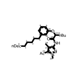 CCCCCCCCCCCCCCCc1cccc(OC(CCCC)C(=O)Nc2nn(C)c(C(C)=O)c2C)c1